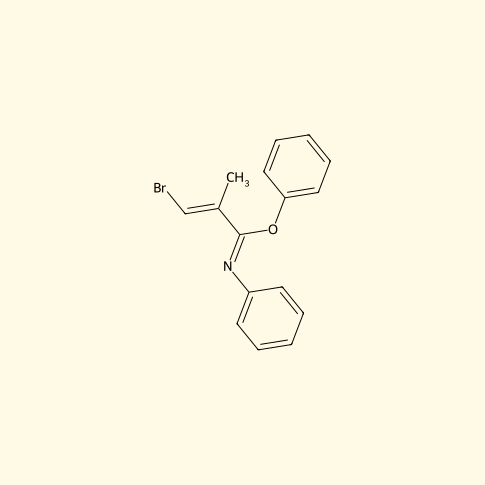 CC(=CBr)C(=Nc1ccccc1)Oc1ccccc1